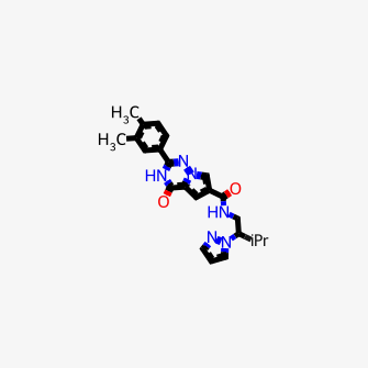 Cc1ccc(-c2nn3cc(C(=O)NCC(C(C)C)n4cccn4)cc3c(=O)[nH]2)cc1C